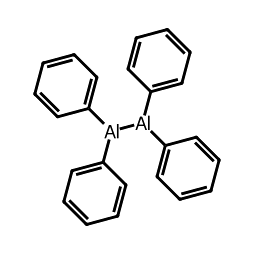 c1cc[c]([Al]([c]2ccccc2)[Al]([c]2ccccc2)[c]2ccccc2)cc1